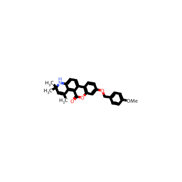 COc1ccc(COc2ccc3c(c2)oc(=O)c2c4c(ccc23)NC(C)(C)C=C4C)cc1